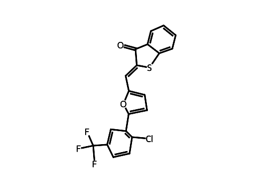 O=C1C(=Cc2ccc(-c3cc(C(F)(F)F)ccc3Cl)o2)Sc2ccccc21